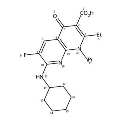 CCc1c(C(=O)O)c(=O)c2cc(F)c(NC3CCCCC3)nc2n1C(C)C